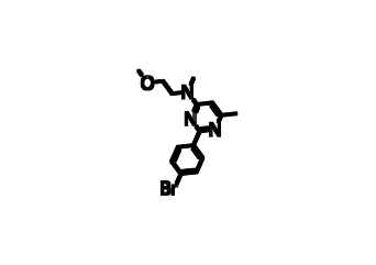 COCCN(C)c1cc(C)nc(-c2ccc(Br)cc2)n1